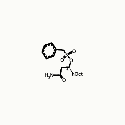 CCCCCCCC[C@H](CC(N)=O)OS(=O)(=O)Cc1ccccc1